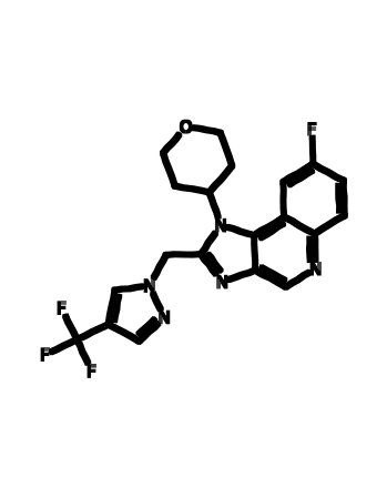 Fc1ccc2ncc3nc(Cn4cc(C(F)(F)F)cn4)n(C4CCOCC4)c3c2c1